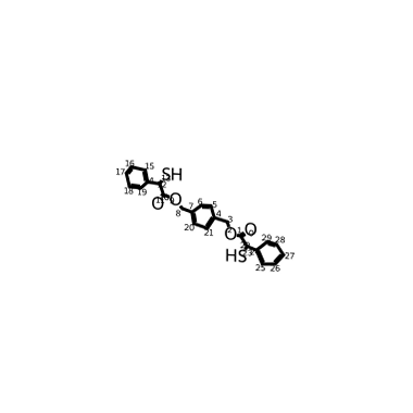 O=C(OCc1ccc(COC(=O)C(S)c2ccccc2)cc1)C(S)c1ccccc1